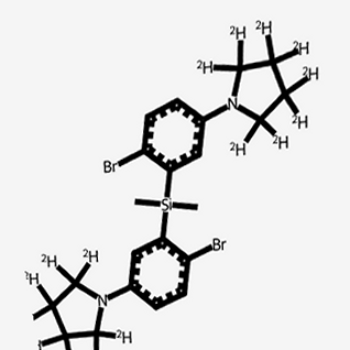 [2H]C1([2H])N(c2ccc(Br)c([Si](C)(C)c3cc(N4C([2H])([2H])C([2H])([2H])C([2H])([2H])C4([2H])[2H])ccc3Br)c2)C([2H])([2H])C([2H])([2H])C1([2H])[2H]